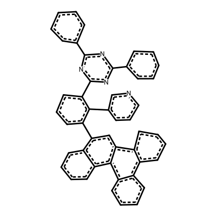 c1ccc(-c2nc(-c3ccccc3)nc(-c3cccc(-c4cc5c6ccccc6c6ccccc6c5c5ccccc45)c3-c3cccnc3)n2)cc1